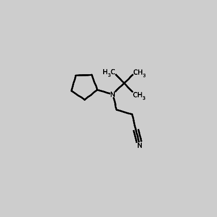 CC(C)(C)N(CCC#N)C1CCCC1